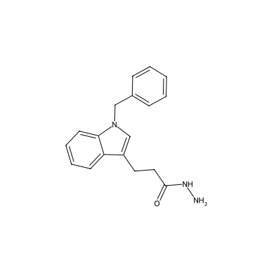 NNC(=O)CCc1cn(Cc2ccccc2)c2ccccc12